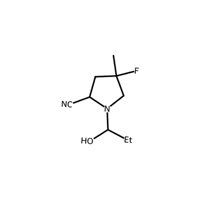 CCC(O)N1CC(C)(F)CC1C#N